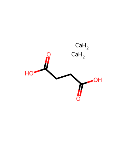 O=C(O)CCC(=O)O.[CaH2].[CaH2]